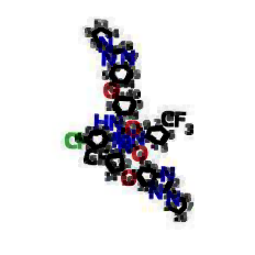 O=C(Nc1cccc(C(F)(F)F)c1)N(c1cccc(Oc2ccc3ncc(N4CCCC4)nc3c2)c1)N(C(=O)Nc1cccc(Oc2ccc3ncc(N4CCCC4)nc3c2)c1)c1ccc(Cl)c(C(F)(F)F)c1